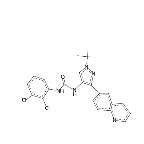 CC(C)(C)n1cc(NC(=O)Nc2cccc(Cl)c2Cl)c(-c2ccc3ncccc3c2)n1